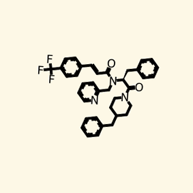 O=C([C@H](Cc1ccccc1)N(Cc1ccccn1)C(=O)/C=C/c1ccc(C(F)(F)F)cc1)N1CCC(Cc2ccccc2)CC1